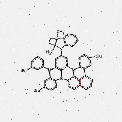 CC(C)(C)c1cccc(N2c3cc(C(C)(C)C)ccc3B3c4ccccc4N(c4ccc(C(C)(C)C)cc4-c4ccccc4)c4cc(N5c6ccccc6C6(C)CCC56C)cc2c43)c1